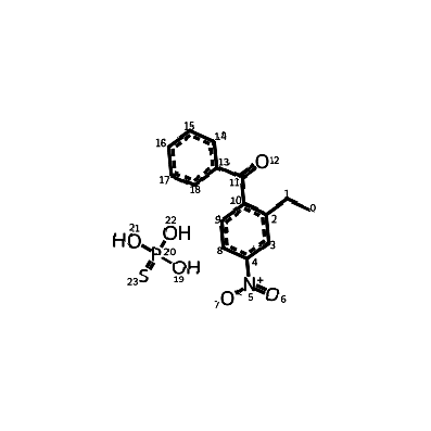 CCc1cc([N+](=O)[O-])ccc1C(=O)c1ccccc1.OP(O)(O)=S